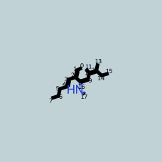 C/C=C(/C=C/CCC)C(=C/C(C)=C(/C)CC)\NC